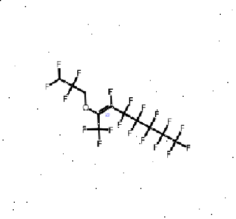 F/C(=C(\OCC(F)(F)C(F)F)C(F)(F)F)C(F)(F)C(F)(F)C(F)(F)C(F)(F)C(F)(F)F